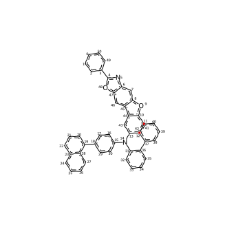 c1ccc(-c2nc3cc4oc5ccc(N(c6ccc(-c7cccc8ccccc78)cc6)c6ccccc6-c6ccccc6)cc5c4cc3o2)cc1